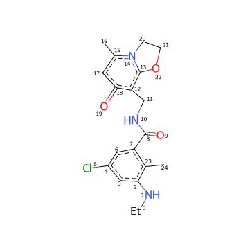 CCNc1cc(Cl)cc(C(=O)NCc2c3n(c(C)cc2=O)CCO3)c1C